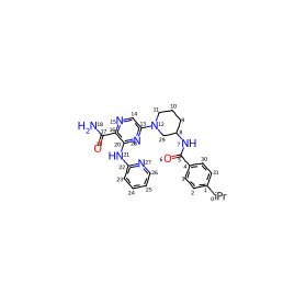 CC(C)c1ccc(C(=O)NC2CCCN(c3cnc(C(N)=O)c(Nc4ccccn4)n3)C2)cc1